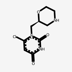 O=c1cc(Cl)n(C[C@@H]2CNCCO2)c(=O)[nH]1